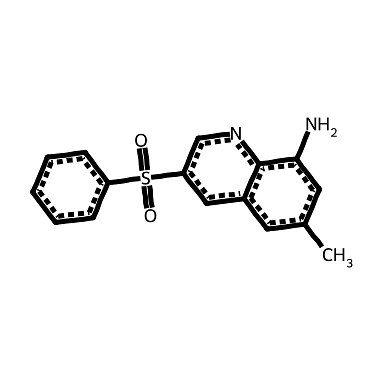 Cc1cc(N)c2ncc(S(=O)(=O)c3ccccc3)cc2c1